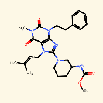 CC(C)=CCn1c(N2CCCC(NC(=O)OC(C)(C)C)C2)nc2c1c(=O)n(C)c(=O)n2CCc1ccccc1